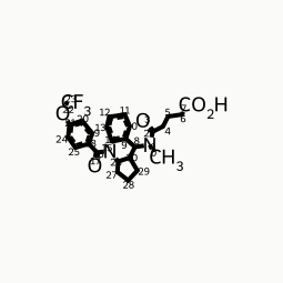 CN(C(=O)CCCC(=O)O)C1c2ccccc2N(C(=O)c2ccc(OC(F)(F)F)cc2)C2CCCC12